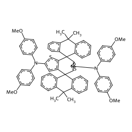 COc1ccc(N(c2ccc(OC)cc2)c2cc3c(s2)C2(c4ccccc4C(C)(C)c4ccccc42)c2cc(N(c4ccc(OC)cc4)c4ccc(OC)cc4)sc2C32c3ccccc3C(C)(C)c3ccccc32)cc1